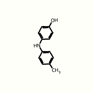 Cc1ccc(Nc2ccc(O)cc2)cc1